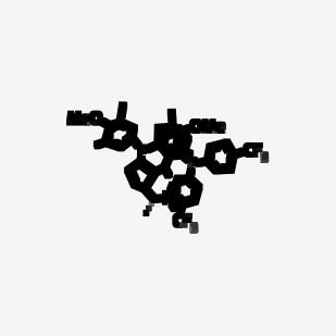 COc1c(C)cc(P(C2=C(C(C)c3ccccc3P(c3ccc(C(F)(F)F)cc3)c3ccc(C(F)(F)F)cc3)C([C@@H](C)N(C)C)C=C2)c2cc(C)c(OC)c(C)c2)cc1C